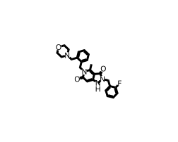 Cc1c2c(=O)n(Cc3ccccc3F)[nH]c2cc(=O)n1Cc1ccccc1CN1CCOCC1